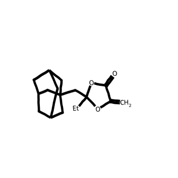 C=C1OC(CC)(CC23CC4CC(CC(C4)C2)C3)OC1=O